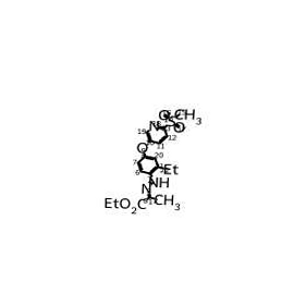 CCOC(=O)/C(C)=N/Nc1ccc(Oc2ccc(S(C)(=O)=O)nc2)cc1CC